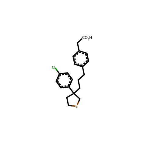 O=C(O)Cc1ccc(CCCC2(c3ccc(Cl)cc3)CCSC2)cc1